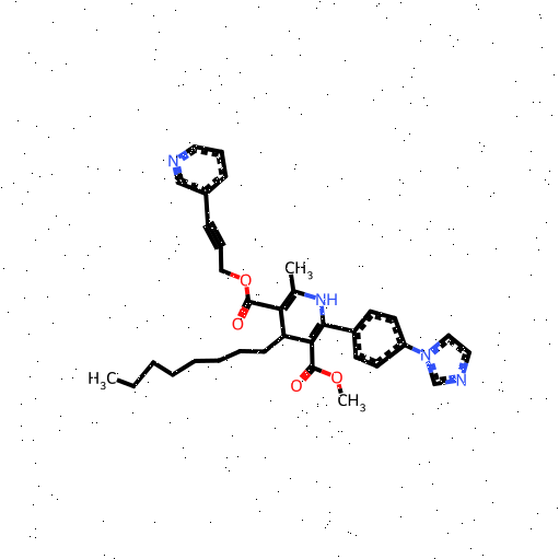 CCCCCCCCC1C(C(=O)OCC#Cc2cccnc2)=C(C)NC(c2ccc(-n3ccnc3)cc2)=C1C(=O)OC